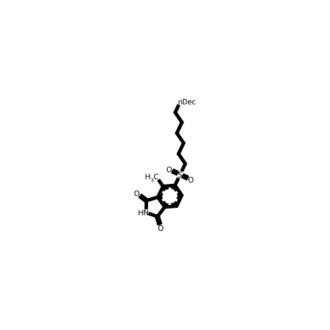 CCCCCCCCCCCCCCCCS(=O)(=O)c1ccc2c(c1C)C(=O)NC2=O